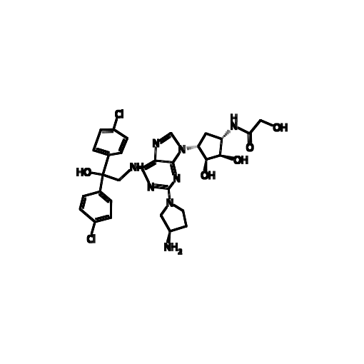 N[C@@H]1CCN(c2nc(NCC(O)(c3ccc(Cl)cc3)c3ccc(Cl)cc3)c3ncn([C@@H]4C[C@H](NC(=O)CO)[C@@H](O)[C@H]4O)c3n2)C1